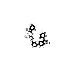 NC(COc1cncc(-c2ccc3[nH]nc(-c4ccccc4)c3c2)c1)Cc1c[nH]c2ccccc12